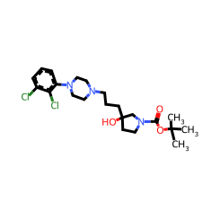 CC(C)(C)OC(=O)N1CCC(O)(CCCN2CCN(c3cccc(Cl)c3Cl)CC2)C1